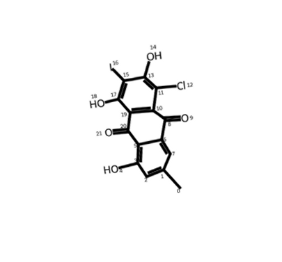 Cc1cc(O)c2c(c1)C(=O)c1c(Cl)c(O)c(I)c(O)c1C2=O